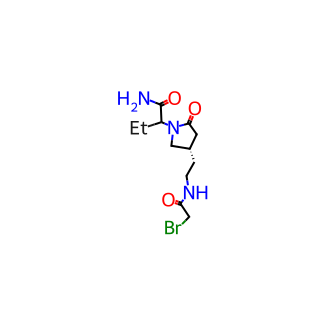 CCC(C(N)=O)N1C[C@@H](CCNC(=O)CBr)CC1=O